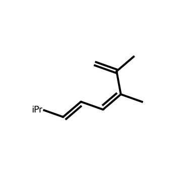 C=C(C)/C(C)=C\C=C\C(C)C